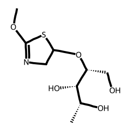 COC1=NCC(O[C@H](CO)[C@@H](O)[C@@H](C)O)S1